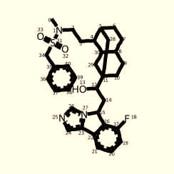 CN(CCC1C2CCC3CCC(C(O)CC4c5c(F)cccc5-c5cncn54)(C2)CC31)S(=O)(=O)Cc1ccccc1